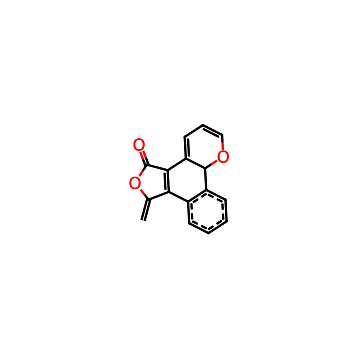 C=C1OC(=O)C2=C1c1ccccc1C1OC=CC=C21